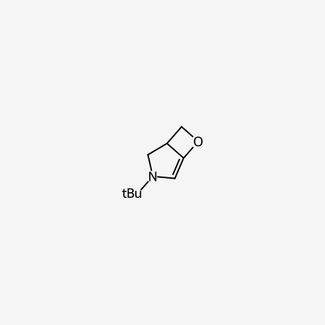 CC(C)(C)N1C=C2OCC2C1